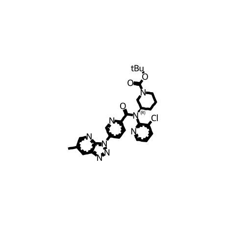 Cc1cnc2c(c1)nnn2-c1ccc(C(=O)N(c2ncccc2Cl)[C@@H]2CCCN(C(=O)OC(C)(C)C)C2)nc1